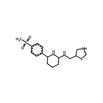 CS(=O)(=O)c1ccc(C2CCCC(NCC3CNCS3)N2)cc1